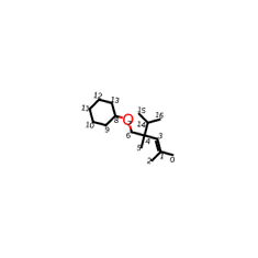 CC(C)=CC(C)(COC1CCCCC1)C(C)C